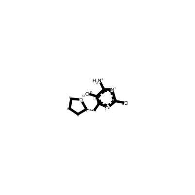 Nc1nc(Cl)nc(C[C@@H]2CCCO2)c1Cl